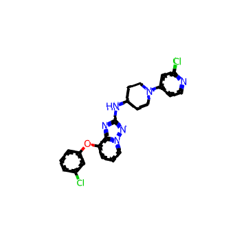 Clc1cccc(Oc2cccn3nc(NC4CCN(c5ccnc(Cl)c5)CC4)nc23)c1